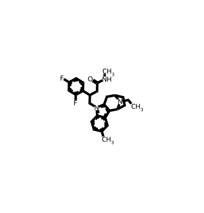 CCN1C2CCC1c1c(n(CC(CC(=O)NC)c3ccc(F)cc3F)c3ccc(C)cc13)C2